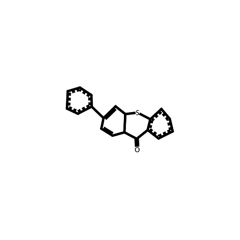 O=C1c2ccccc2SC2C=C(c3ccccc3)C=CC12